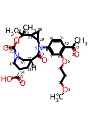 COCCCOc1cc(N2C(=O)[C@@H]3C[C@H](C(=O)O)CN(C3)C(=O)OC(C)(C)C3CC32)ccc1C(C)=O